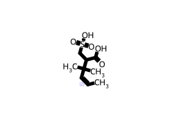 C/C=C\C(C)(C)C(CS(=O)(=O)O)C(=O)O